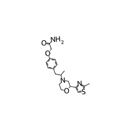 Cc1nc(C2CN(C(C)Cc3ccc(OCC(N)=O)cc3)CCO2)cs1